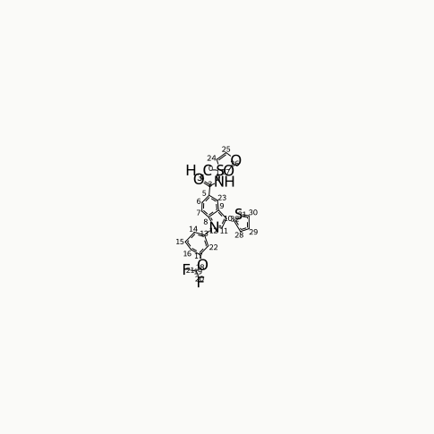 CS1(NC(=O)c2ccc3c(ccn3-c3cccc(OC(F)F)c3)c2)C=COO1.c1ccsc1